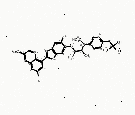 COc1cnc2c(-c3nc4cc(F)c(OC(C)C(C)N(C(=O)O)c5ccc(CC(C)(C)O)nc5)cc4s3)cc(Cl)cc2n1